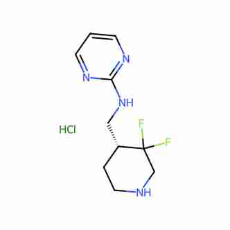 Cl.FC1(F)CNCC[C@@H]1CNc1ncccn1